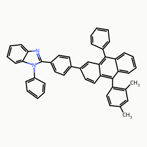 Cc1ccc(-c2c3ccccc3c(-c3ccccc3)c3cc(-c4ccc(-c5nc6ccccc6n5-c5ccccc5)cc4)ccc23)c(C)c1